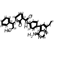 CCc1cc(-c2ccc(NC(=O)c3cccn(C(CO)c4ccccc4)c3=O)cc2)c2c(N)ncnn12